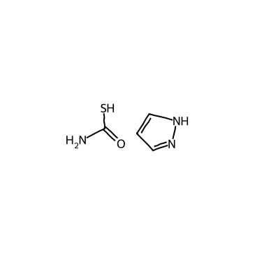 NC(=O)S.c1cn[nH]c1